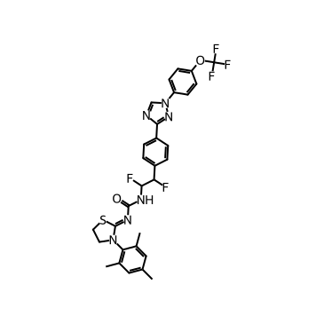 Cc1cc(C)c(N2CCS/C2=N\C(=O)NC(F)C(F)c2ccc(-c3ncn(-c4ccc(OC(F)(F)F)cc4)n3)cc2)c(C)c1